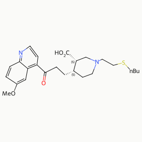 CCCCSCCN1CC[C@H](CCC(=O)c2ccnc3ccc(OC)cc23)[C@H](C(=O)O)C1